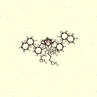 CCC[CH2][Hf]([CH3])(=[SiH2])([CH2]CCC)([c]1ccccc1)([CH]1C(C)=Cc2c(-c3cccc4ccccc34)cccc21)[CH]1C(C)=Cc2c(-c3cccc4ccccc34)cccc21